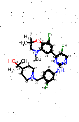 CCC(C)N1CC(C)(C)Oc2c(F)cc(-c3nc(Nc4ccc(CN5CCC(C(C)(C)O)CC5)c(F)c4)ncc3F)cc21